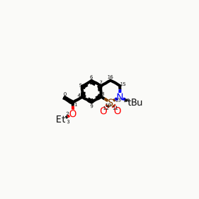 C=C(OCC)c1ccc2c(c1)S(=O)(=O)N(C(C)(C)C)CC2